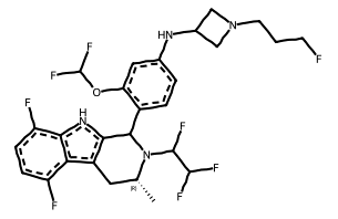 C[C@@H]1Cc2c([nH]c3c(F)ccc(F)c23)C(c2ccc(NC3CN(CCCF)C3)cc2OC(F)F)N1C(F)C(F)F